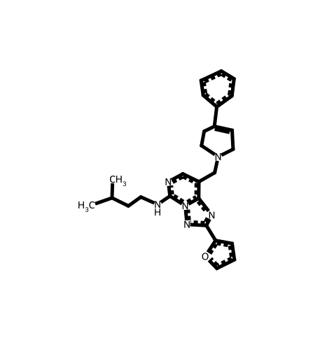 CC(C)CCNc1ncc(CN2CC=C(c3ccccc3)CC2)c2nc(-c3ccco3)nn12